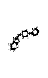 c1ccc(N2CCN(Cc3nc4cccnc4s3)CC2)nc1